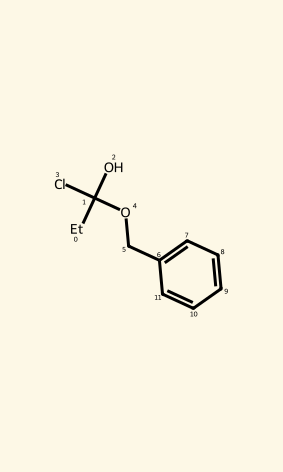 CCC(O)(Cl)OCc1ccccc1